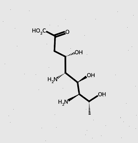 C[C@@H](O)[C@@H](N)[C@H](O)[C@H](N)[C@@H](O)CC(=O)C(=O)O